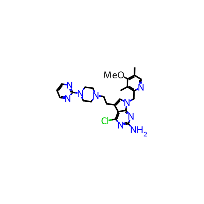 COc1c(C)cnc(Cn2cc(CCN3CCN(c4ncccn4)CC3)c3c(Cl)nc(N)nc32)c1C